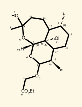 CCOC(=O)COC1O[C@@H]2OC(C)(O)CCC3[C@H](C)CCC([C@H]1C)[C@]32O